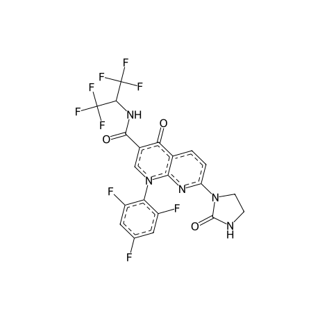 O=C(NC(C(F)(F)F)C(F)(F)F)c1cn(-c2c(F)cc(F)cc2F)c2nc(N3CCNC3=O)ccc2c1=O